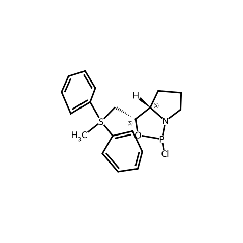 CS(C[C@H]1OP(Cl)N2CCC[C@@H]12)(c1ccccc1)c1ccccc1